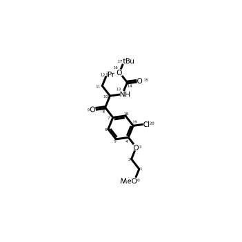 COCCOc1ccc(C(=O)C(CC(C)C)NC(=O)OC(C)(C)C)cc1Cl